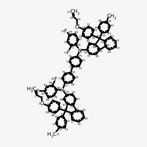 C=CCOc1ccc(C2(c3ccc(C)cc3)c3ccccc3-c3ccc(N(c4ccc(-c5ccc(N(c6ccc7c(c6)C(c6ccc(C)cc6)(c6ccc(OCC=C)cc6)c6ccccc6-7)c6ccc(F)cc6F)cc5)cc4)c4ccc(F)cc4F)cc32)cc1